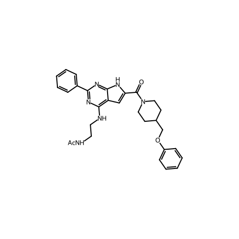 CC(=O)NCCNc1nc(-c2ccccc2)nc2[nH]c(C(=O)N3CCC(COc4ccccc4)CC3)cc12